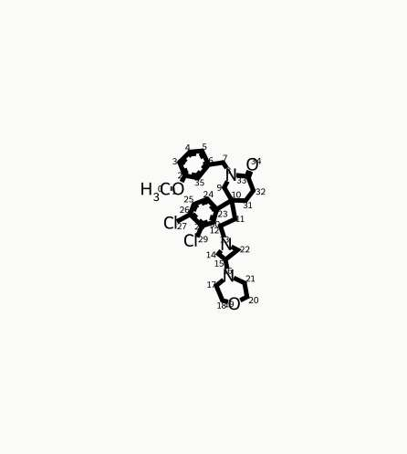 COc1cccc(CN2CC(CCN3CC(N4CCOCC4)C3)(c3ccc(Cl)c(Cl)c3)CCC2=O)c1